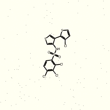 O=S(=O)(Nc1cscc1-c1sccc1Cl)c1ccc(Cl)c(Cl)c1Cl